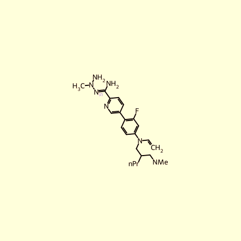 C=CN(CC(CCC)CNC)c1ccc(-c2ccc(/C(N)=N/N(C)N)nc2)c(F)c1